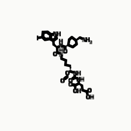 NC[C@H]1CC[C@H](C(=O)N[C@H](Cc2c[nH]c3ccc(I)cc23)C(=O)NCCCC[C@H](NC(=O)N[C@@H](CCC(=O)O)C(=O)O)OC=O)CC1